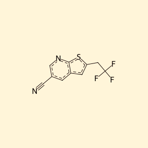 N#Cc1cnc2sc(CC(F)(F)F)cc2c1